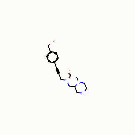 CN1CCNCC1CN(C=O)CC#Cc1ccc(CO)cc1